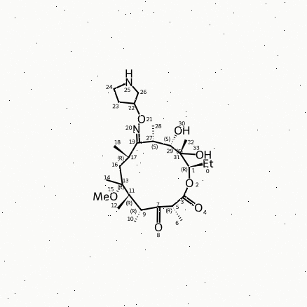 CC[C@H]1OC(=O)[C@H](C)C(=O)[C@H](C)[C@@H](C)[C@](C)(OC)C[C@@H](C)C(=NOC2CCNC2)[C@H](C)[C@H](O)[C@]1(C)O